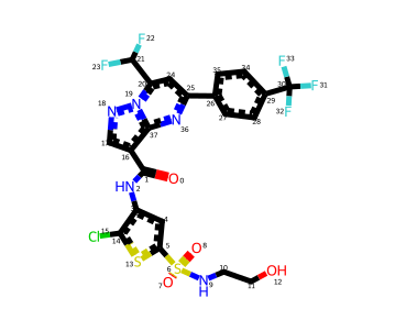 O=C(Nc1cc(S(=O)(=O)NCCO)sc1Cl)c1cnn2c(C(F)F)cc(-c3ccc(C(F)(F)F)cc3)nc12